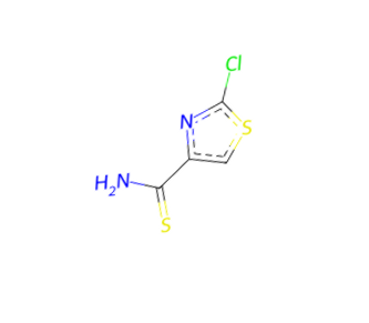 NC(=S)c1csc(Cl)n1